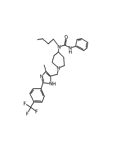 CCCCN(C(=O)Nc1ccccc1)C1CCN(Cc2[nH]c(-c3ccc(C(F)(F)F)cc3)nc2C)CC1